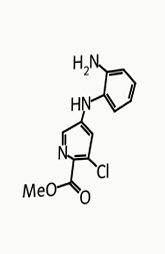 COC(=O)c1ncc(Nc2ccccc2N)cc1Cl